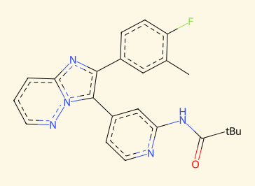 Cc1cc(-c2nc3cccnn3c2-c2ccnc(NC(=O)C(C)(C)C)c2)ccc1F